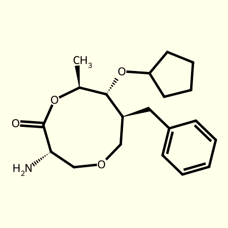 C[C@@H]1OC(=O)[C@@H](N)COC[C@H](Cc2ccccc2)[C@H]1OC1CCCC1